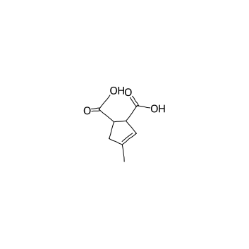 CC1=CC(C(=O)O)C(C(=O)O)C1